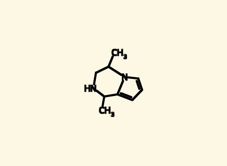 CC1NCC(C)n2cccc21